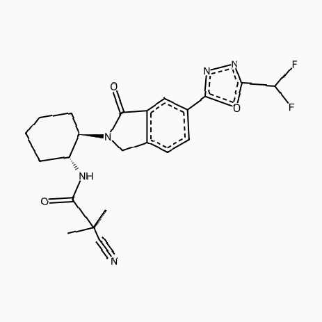 CC(C)(C#N)C(=O)N[C@@H]1CCCC[C@H]1N1Cc2ccc(-c3nnc(C(F)F)o3)cc2C1=O